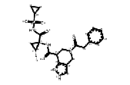 O=C(N[C@]1(C(=O)NS(=O)(=O)C2CC2)C[C@H]1I)C1CN(C(=O)Cc2ccccc2)Cc2c[nH]nc21